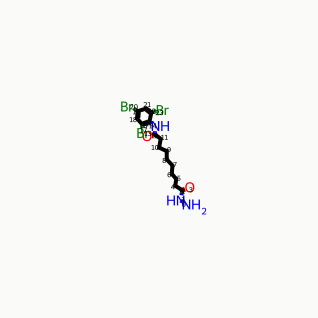 NNC(=O)CCCCCCCCC(=O)Nc1c(Br)cc(Br)cc1Br